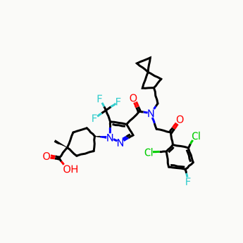 C[C@]1(C(=O)O)CC[C@H](n2ncc(C(=O)N(CC(=O)c3c(Cl)cc(F)cc3Cl)CC3CC4(CC4)C3)c2C(F)(F)F)CC1